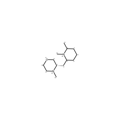 CC1CCCC(C[C@H]2COCCN2C)N1C